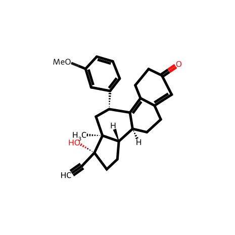 C#C[C@]1(O)CC[C@H]2[C@@H]3CCC4=CC(=O)CCC4=C3[C@@H](c3cccc(OC)c3)C[C@@]21C